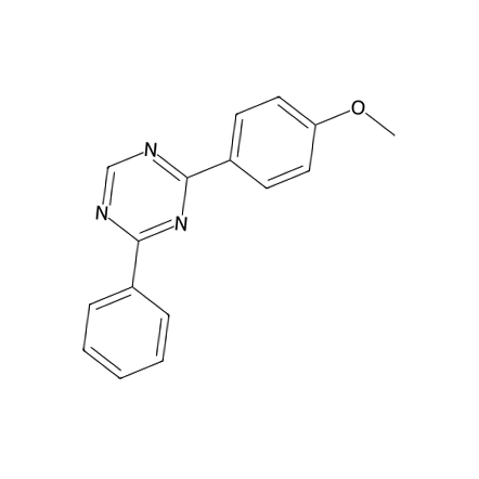 COc1ccc(-c2ncnc(-c3ccccc3)n2)cc1